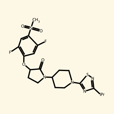 CC(C)c1nsc(N2CCC(N3CCC(Oc4cc(F)c(S(C)(=O)=O)cc4F)C3=O)CC2)n1